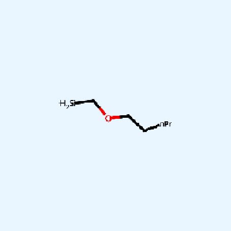 CCCCCOC[SiH2]